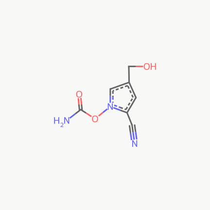 N#Cc1cc(CO)cn1OC(N)=O